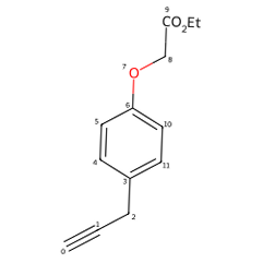 C#CCc1ccc(OCC(=O)OCC)cc1